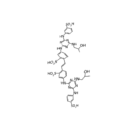 CC(O)CNc1nc(Nc2cccc(S(=O)(=O)O)c2)nc(Nc2ccc(C=Cc3ccc(Nc4nc(NCC(C)O)nc(Nc5cccc(S(=O)(=O)O)c5)n4)cc3S(=O)(=O)O)c(S(=O)(=O)O)c2)n1